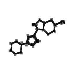 N#CN1CCC2C(CNC2c2ncc(C3CCCCC3)s2)C1